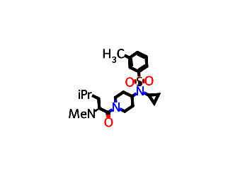 CN[C@@H](CC(C)C)C(=O)N1CCC(N(C2CC2)S(=O)(=O)c2cccc(C)c2)CC1